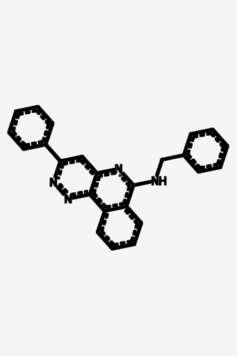 c1ccc(CNc2nc3cc(-c4ccccc4)nnc3c3ccccc23)cc1